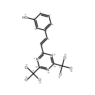 Oc1cccc(C=Cc2nc(C(Cl)(Cl)Cl)nc(C(Cl)(Cl)Cl)n2)c1